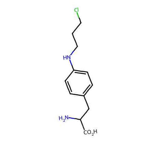 NC(Cc1ccc(NCCCCl)cc1)C(=O)O